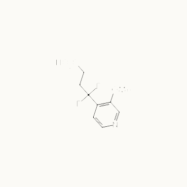 COc1cnccc1C(F)(F)CCC(=O)O